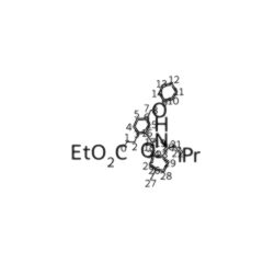 CCOC(=O)CCc1ccc(COc2ccccc2)cc1C(=O)NC(CC(C)C)c1ccc(C)cc1